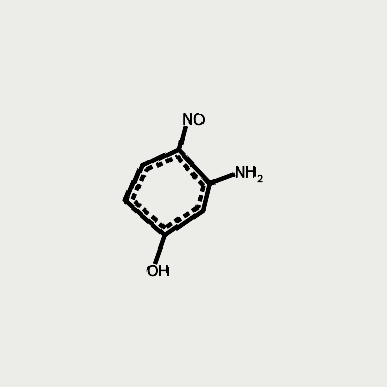 Nc1cc(O)ccc1N=O